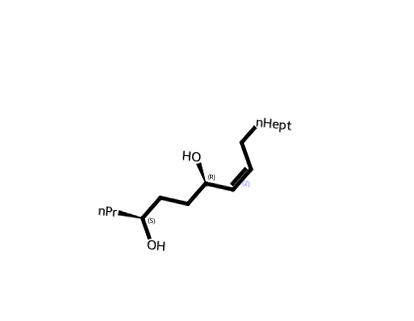 CCCCCCCC/C=C\[C@H](O)CC[C@@H](O)CCC